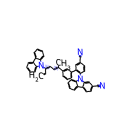 C=C/C(=C\C=C(/C)c1cccc(-c2cc(C#N)ccc2-n2c3ccccc3c3ccc(C#N)cc32)c1)n1c2ccccc2c2ccccc21